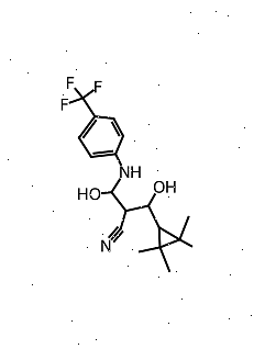 CC1(C)C(C(O)C(C#N)C(O)Nc2ccc(C(F)(F)F)cc2)C1(C)C